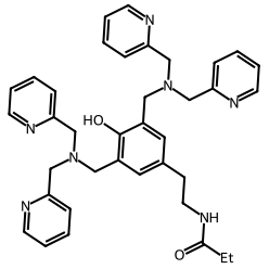 CCC(=O)NCCc1cc(CN(Cc2ccccn2)Cc2ccccn2)c(O)c(CN(Cc2ccccn2)Cc2ccccn2)c1